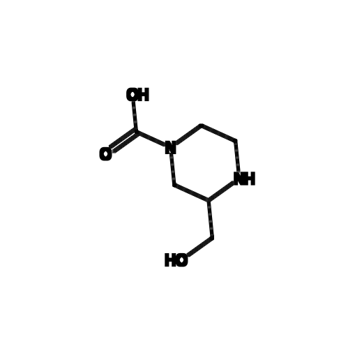 O=C(O)N1CCNC(CO)C1